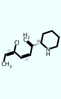 C=C(/C=C\C(Cl)=C/C)[C@@H]1CCCCN1